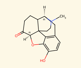 CN1CCC23c4c5ccc(O)c4O[C@H]2C(=O)CCC3[C@H]1C5